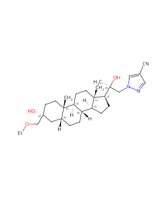 CCOC[C@@]1(O)CC[C@@]2(C)[C@H](CC[C@@H]3[C@@H]2CC[C@@]2(C)[C@H]3CC[C@@H]2[C@@](C)(O)Cn2cc(C#N)cn2)C1